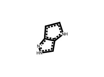 c1cc2n[nH]cc2[nH]1